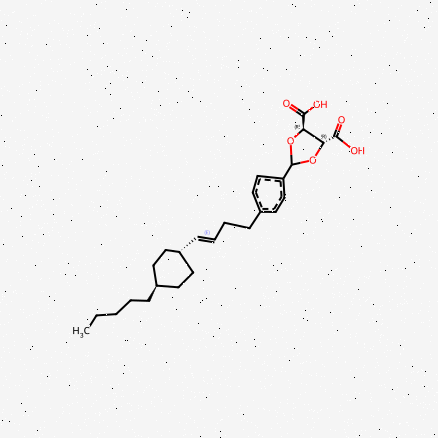 CCCCC[C@H]1CC[C@H](/C=C/CCc2ccc(C3O[C@@H](C(=O)O)[C@H](C(=O)O)O3)cc2)CC1